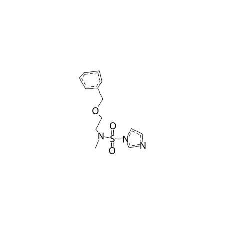 CN(CCOCc1ccccc1)S(=O)(=O)n1ccnc1